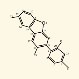 Cc1ccc(-c2cc3oc4ccc(C)cc4c3cc2C)c(C)c1